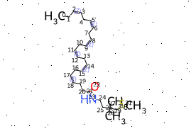 CC/C=C\C/C=C\C/C=C\C/C=C\C/C=C\C/C=C\CCC(=O)NCCC(C)(C)CSC